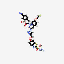 N#Cc1ccc(C[C@H](NC[C@H](Cc2ccc(OCCF)cc2)n2cc(COc3ccc4nc(S(N)(=O)=O)sc4c3)nn2)C(=O)O)cc1